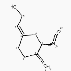 C=C1CC/C(=C/CO)C[C@H]1N=O